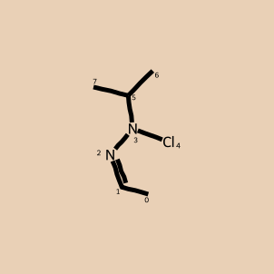 C/C=N\N(Cl)C(C)C